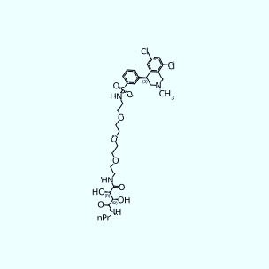 CCCNC(=O)[C@H](O)[C@@H](O)C(=O)NCCOCCOCCOCCNS(=O)(=O)c1cccc([C@@H]2CN(C)Cc3c(Cl)cc(Cl)cc32)c1